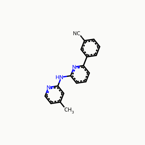 Cc1ccnc(Nc2cccc(-c3cccc(C#N)c3)n2)c1